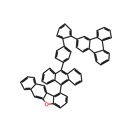 c1ccc(-c2ccc3c4ccccc4c4ccccc4c3c2)c(-c2ccc(-c3c4ccccc4c(-c4cccc5oc6cc7ccccc7cc6c45)c4ccccc34)cc2)c1